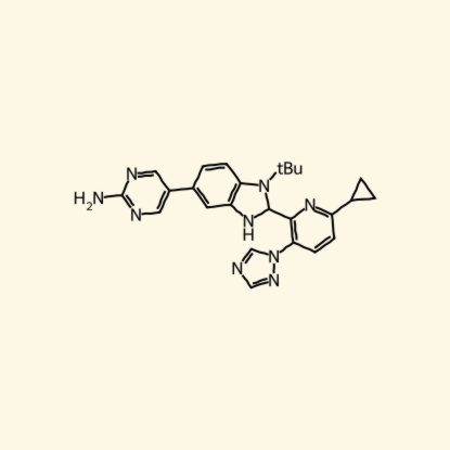 CC(C)(C)N1c2ccc(-c3cnc(N)nc3)cc2NC1c1nc(C2CC2)ccc1-n1cncn1